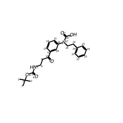 CC(C)(C)OC(=O)NCCC(=O)c1cccc(N(CCc2ccccc2)C(=O)O)c1